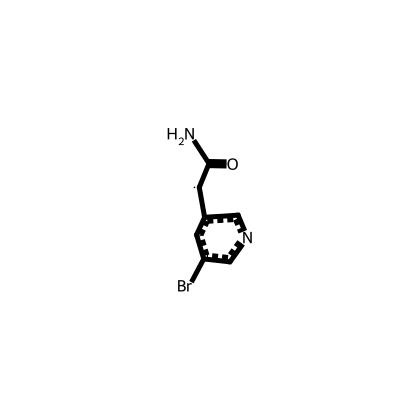 NC(=O)[CH]c1cncc(Br)c1